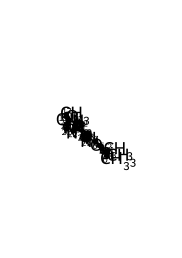 C[Si](C)(C)CCOCn1cc(-c2cnn3c(S(C)(=O)=O)ccnc23)cn1